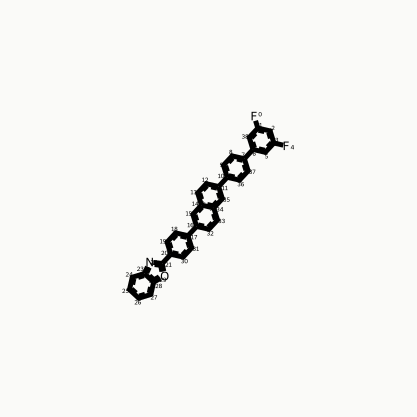 Fc1cc(F)cc(-c2ccc(-c3ccc4cc(-c5ccc(-c6nc7ccccc7o6)cc5)ccc4c3)cc2)c1